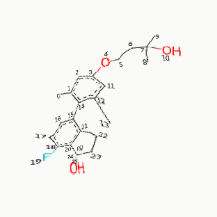 Cc1cc(OCCC(C)(C)O)cc(C)c1-c1ccc(F)c2c1CC[C@@H]2O